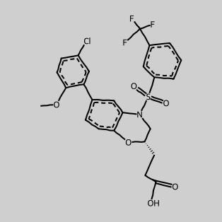 COc1ccc(Cl)cc1-c1ccc2c(c1)N(S(=O)(=O)c1cccc(C(F)(F)F)c1)C[C@H](CCC(=O)O)O2